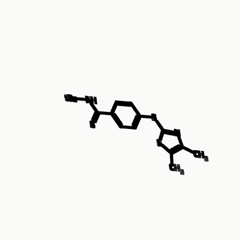 Cc1nc(Sc2ccc(C(=S)NC(C)(C)C)cc2)sc1C